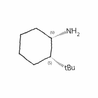 CC(C)(C)[C@@H]1CCCC[C@@H]1N